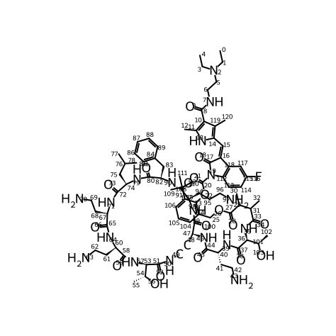 CCN(CC)CCNC(=O)c1c(C)[nH]c(/C=C2\C(=O)N(C(=O)Oc3c(COC(=O)C(C)C(C)C(=O)N[C@H](C(=O)N[C@H](CCN)C(=O)N[C@H]4CCNC(=O)[C@@H]([C@@H](C)O)NC(=O)[C@@H](CCN)NC(=O)[C@@H](CCN)NC(=O)[C@@H](CC(C)C)NC(=O)[C@@H](Cc5ccccc5)NC(=O)[C@@H](CCCN)NC4=O)[C@@H](C)O)cccc3C(C)(C)C)c3ccc(F)cc32)c1C